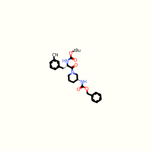 CC(C)(C)OC(=O)N[C@@H](Cc1cccc(C#N)c1)C(=O)N1CCC[C@@H](NC(=O)OCc2ccccc2)C1